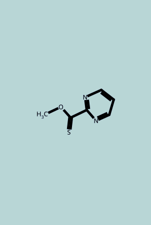 COC(=S)c1ncccn1